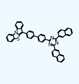 c1ccc2cc(-c3nc(-c4ccc(-c5ccc(-c6c7ccccc7n7c6sc6ccccc67)cc5)cc4)nc(-c4ccc5ccccc5c4)n3)ccc2c1